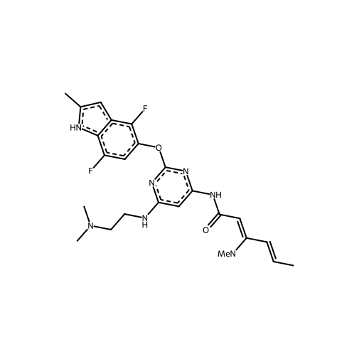 C/C=C/C(=C/C(=O)Nc1cc(NCCN(C)C)nc(Oc2cc(F)c3[nH]c(C)cc3c2F)n1)NC